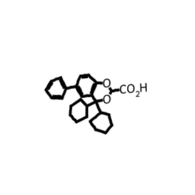 O=C(O)C1Oc2ccc(-c3ccccc3)cc2C(C2CCCCC2)(C2CCCCC2)O1